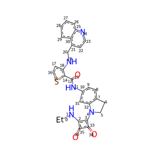 CCNc1c(N2CCc3ccc(NC(=O)c4sccc4NCc4ccnc5ccccc45)cc32)c(=O)c1=O